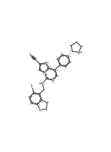 N#Cc1cn2c(NCc3c(F)ccc4c3CCO4)ncc(-c3ccc([C@@H]4CCCN4)cc3)c2n1